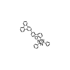 c1ccc(-c2nc(-c3ccccc3)nc(-c3cccc4c3oc3ccc(-c5ccc6c7ccccc7c7ccccc7c6c5)cc34)n2)cc1